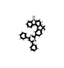 CC1(C)c2ccc(-c3nc(-c4ccccc4)cc(-c4ccccc4)n3)cc2-c2c1ccc1[nH]c3ccccc3c21